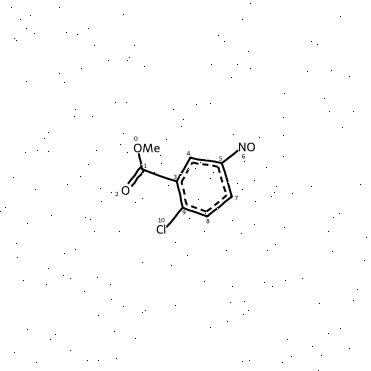 COC(=O)c1cc(N=O)ccc1Cl